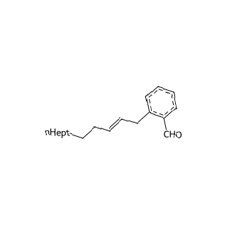 CCCCCCCCC/C=C/Cc1ccccc1C=O